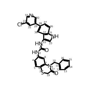 O=C(Nc1ccc2c(c1)N(Cc1ccccc1)C(=O)CS2)Nc1c[nH]c2ccc(-c3cncc(Cl)c3)cc12